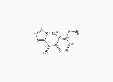 O=C(c1cccs1)c1cccc(CBr)c1Cl